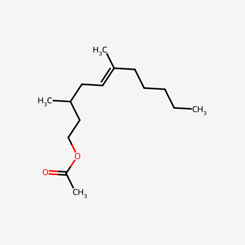 CCCCCC(C)=CCC(C)CCOC(C)=O